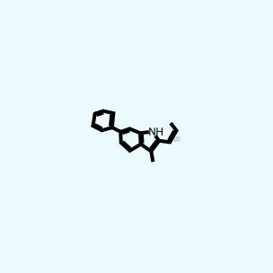 C/C=C\c1[nH]c2cc(-c3ccccc3)ccc2c1C